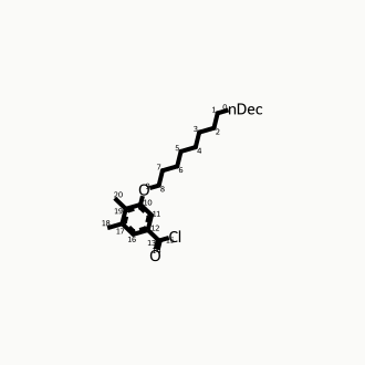 CCCCCCCCCCCCCCCCCCOc1cc(C(=O)Cl)cc(C)c1C